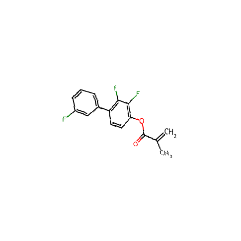 C=C(C)C(=O)Oc1ccc(-c2cccc(F)c2)c(F)c1F